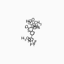 Cn1nc(C(F)(F)F)cc1-c1ccc2c(O)c(C(=O)C(C)(N)C(=O)O)c(=O)sc2c1